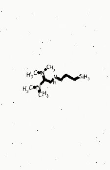 CN(C)C(CNCCC[SiH3])N(C)C